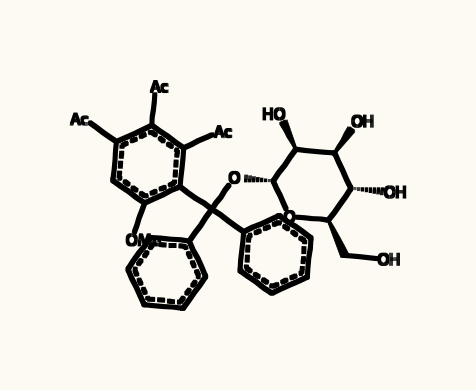 COc1cc(C(C)=O)c(C(C)=O)c(C(C)=O)c1C(O[C@H]1O[C@H](CO)[C@@H](O)[C@H](O)[C@@H]1O)(c1ccccc1)c1ccccc1